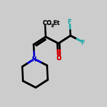 CCOC(=O)C(=CN1CCCCC1)C(=O)C(F)F